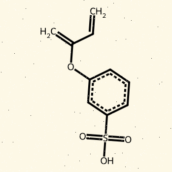 C=CC(=C)Oc1cccc(S(=O)(=O)O)c1